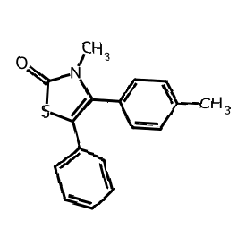 Cc1ccc(-c2c(-c3ccccc3)sc(=O)n2C)cc1